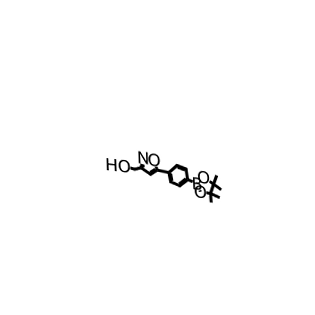 CC1(C)OB(c2ccc(-c3cc(CO)no3)cc2)OC1(C)C